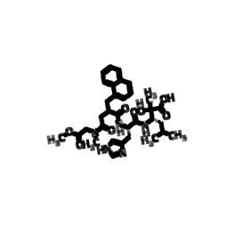 COC(=O)CN(C)C(=O)CC(Cc1cccc2ccccc12)C(=O)N[C@@H](Cc1c[nH]cn1)C(=O)N[C@@H](CC(C)C)C(C)(O)C(=O)O